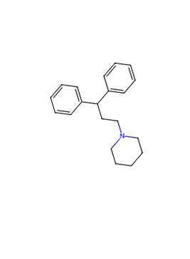 c1ccc(C(CCN2CCCCC2)c2ccccc2)cc1